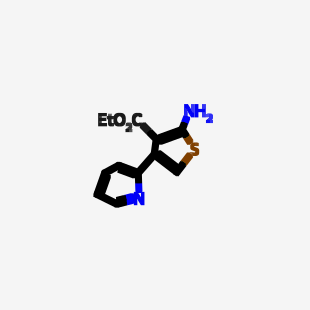 CCOC(=O)c1c(-c2ccccn2)csc1N